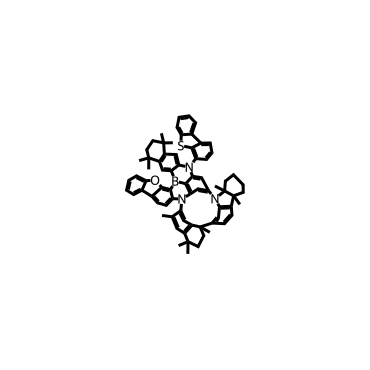 Cc1cc2c3cc1N1c4cc(cc5c4B(c4cc6c(cc4N5c4cccc5c4sc4ccccc45)C(C)(C)CCC6(C)C)c4c1ccc1c4oc4ccccc41)N1c4cc(ccc4C4(C)CCCCC14C)C3(C)CCC2(C)C